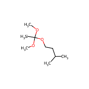 COC([SiH3])(OC)OCCC(C)C